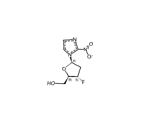 O=[N+]([O-])c1nccn1[C@H]1C[C@H](F)[C@@H](CO)O1